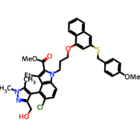 CCc1c(C(=O)OC)n(CCCOc2cc(SCc3ccc(OC)cc3)cc3ccccc23)c2ccc(Cl)c(-c3c(CO)nn(C)c3C)c12